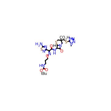 Cn1nnnc1SCC1(C(=O)O)CS[C@@H]2C(NC(=O)C(=NOCCCNC(=O)OC(C)(C)C)c3nsc(N)n3)C(=O)N2C1